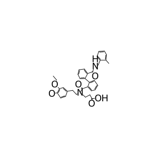 CCOc1cc(CCN(CCC(=O)O)C(=O)c2ccccc2-c2ccccc2C(=O)NCc2ccccc2C)ccc1OC